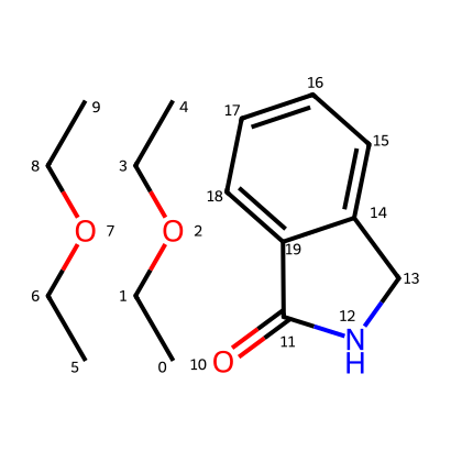 CCOCC.CCOCC.O=C1NCc2ccccc21